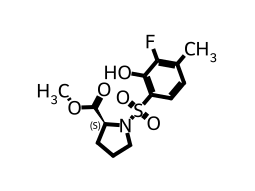 COC(=O)[C@@H]1CCCN1S(=O)(=O)c1ccc(C)c(F)c1O